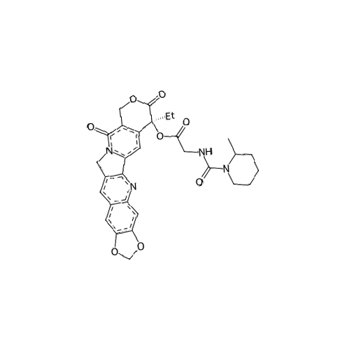 CC[C@@]1(OC(=O)CNC(=O)N2CCCCC2C)C(=O)OCc2c1cc1n(c2=O)Cc2cc3cc4c(cc3nc2-1)OCO4